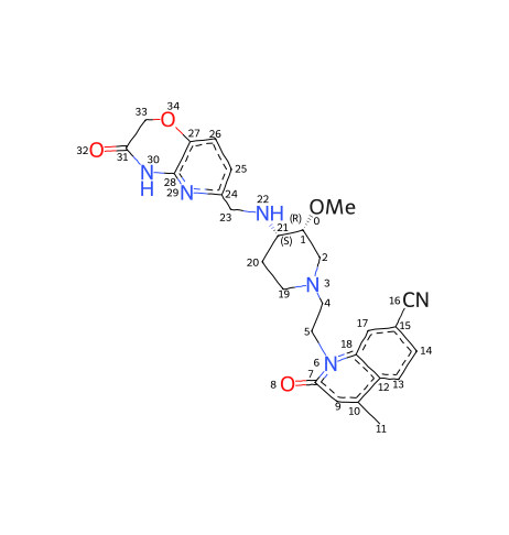 CO[C@@H]1CN(CCn2c(=O)cc(C)c3ccc(C#N)cc32)CC[C@@H]1NCc1ccc2c(n1)NC(=O)CO2